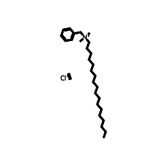 C=C.CCCCCCCCCCCCCCCCCC[N+](C)(C)Cc1ccccc1.[Cl-]